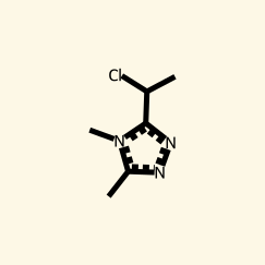 Cc1nnc(C(C)Cl)n1C